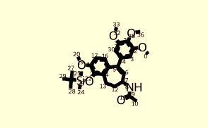 COc1cc(C2=CC(NC(C)=O)CCc3c2ccc(OC)c3O[Si](C)(C)C(C)(C)C)cc(OC)c1OC